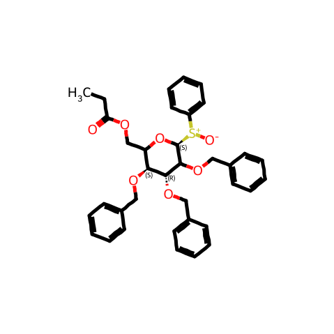 CCC(=O)OCC1O[C@@H]([S+]([O-])c2ccccc2)C(OCc2ccccc2)[C@H](OCc2ccccc2)[C@H]1OCc1ccccc1